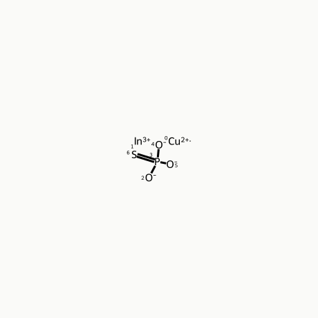 [Cu+2].[In+3].[O-]P([O-])([O-])=S